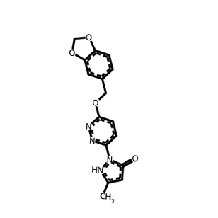 Cc1cc(=O)n(-c2ccc(OCc3ccc4c(c3)OCO4)nn2)[nH]1